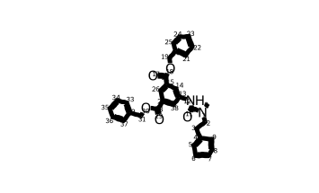 CN(CCc1ccccc1)C(=O)Nc1cc(C(=O)OCc2ccccc2)cc(C(=O)OCc2ccccc2)c1